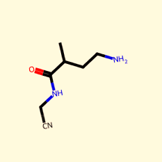 CC(CCN)C(=O)NCC#N